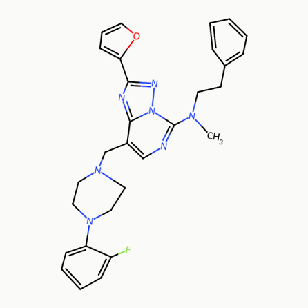 CN(CCc1ccccc1)c1ncc(CN2CCN(c3ccccc3F)CC2)c2nc(-c3ccco3)nn12